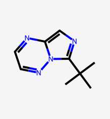 CC(C)(C)c1ncc2nccnn12